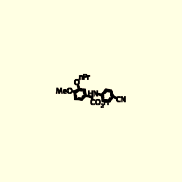 CCCOc1cc(C(Nc2ccc(C#N)cc2)C(=O)O)ccc1OC